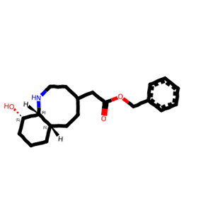 O=C(CC1CCN[C@@H]2[C@@H](CCC[C@@H]2O)CC1)OCc1ccccc1